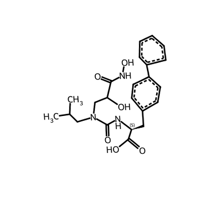 CC(C)CN(CC(O)C(=O)NO)C(=O)N[C@@H](Cc1ccc(-c2ccccc2)cc1)C(=O)O